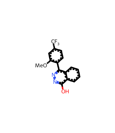 COc1cc(C(F)(F)F)ccc1-c1nnc(O)c2ccccc12